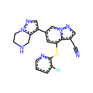 N#Cc1cnn2cc(-c3cnn4c3CNCC4)cc(Sc3ncccc3F)c12